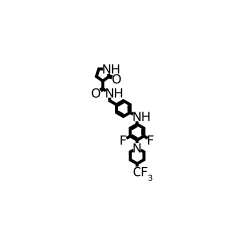 O=C1NCCC1C(=O)NCc1ccc(Nc2cc(F)c(N3CCC(C(F)(F)F)CC3)c(F)c2)cc1